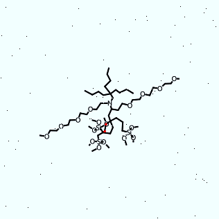 CCCCC(CCCC)(CCCC)CN(CCOCCOCCOCCOC)C(CCOCCOCCOCCOC)CC(CCC[Si](OC)(OC)OC)(CCC[Si](OC)(OC)OC)CCC[Si](OC)(OC)OC